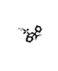 CCC(=O)C(CC(C)[P](C)(C)N)(c1ccccc1)c1ccccc1